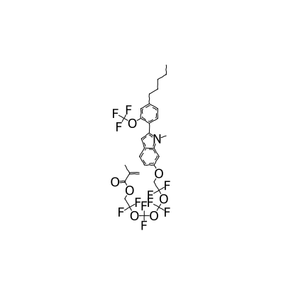 C=C(C)C(=O)OCC(F)(F)OC(F)(F)OC(F)(F)OC(F)(F)COc1ccc2cc(-c3ccc(CCCCC)cc3OC(F)(F)F)n(C)c2c1